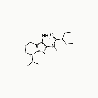 CCC(CC)C(=O)N(C)c1sc2c(c1N)CCCN2C(C)C